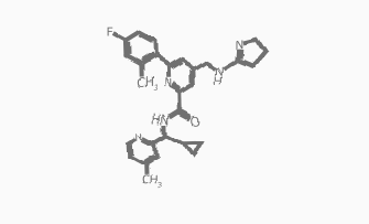 Cc1ccnc(C(NC(=O)c2cc(CNC3=NCCC3)cc(-c3ccc(F)cc3C)n2)C2CC2)c1